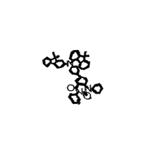 CC1(C)c2ccccc2-c2ccc(N(c3ccc(-c4ccc5c(c4)c(=O)n(-c4ccccc4)c(=O)n5-c4ccccc4)cc3)c3cccc4c3-c3ccccc3C4(C)C)cc21